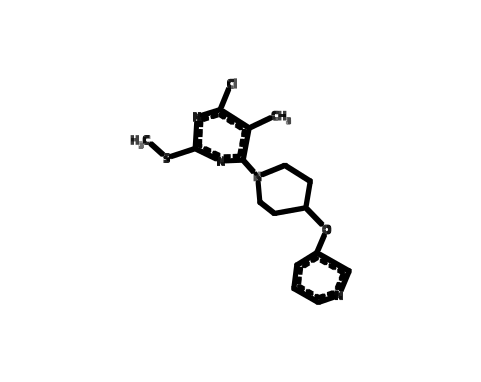 CSc1nc(Cl)c(C)c(N2CCC(Oc3cccnc3)CC2)n1